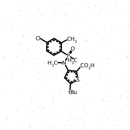 Cc1cc(Cl)ccc1P(C)(=O)N(C)c1cc(C(C)(C)C)sc1C(=O)O